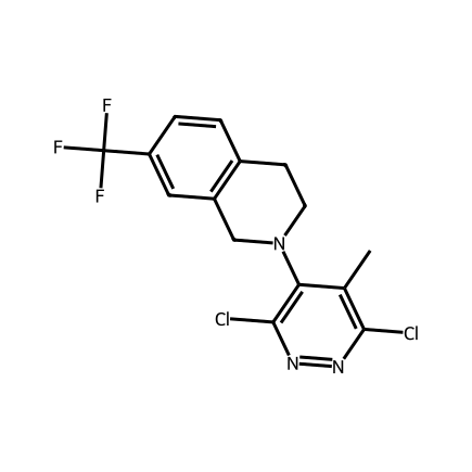 Cc1c(Cl)nnc(Cl)c1N1CCc2ccc(C(F)(F)F)cc2C1